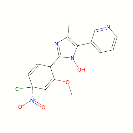 COC1=CC(Cl)([N+](=O)[O-])C=CC1c1nc(C)c(-c2cccnc2)n1O